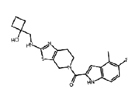 Cc1c(F)ccc2[nH]c(C(=O)N3CCc4nc(NCC5(O)CCC5)sc4C3)cc12